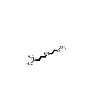 COCCNCC=CN(C)C